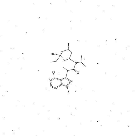 CCC1(O)CC(C)CC(N(C(=O)C(C)c2nn(C)c3cccc(Cl)c23)C(C)C)C1